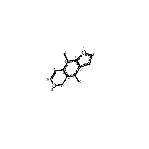 Cc1c2c(c(C)c3occc13)C=COC2